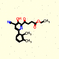 CCOC(=O)CCC(=O)c1nc(-c2cccc(C)c2C)cc(C#N)c1O